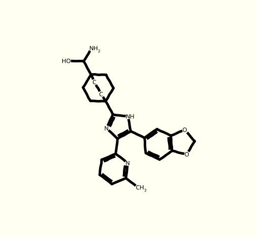 Cc1cccc(-c2nc(C34CCC(C(N)O)(CC3)CC4)[nH]c2-c2ccc3c(c2)OCO3)n1